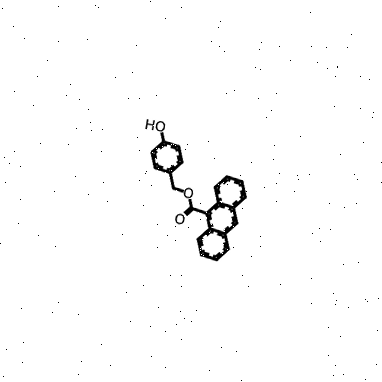 O=C(OCc1ccc(O)cc1)c1c2ccccc2cc2ccccc12